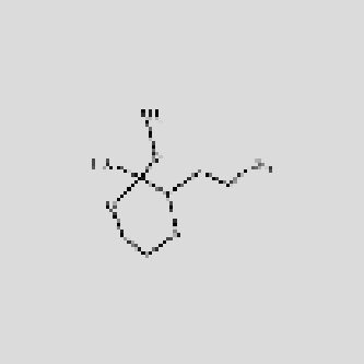 CCCC1NCCOC1(C)OC